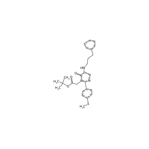 CSc1ccc(-c2ncc(NCCCc3ccccc3)c(=O)n2CC(=O)OC(C)(C)C)cc1